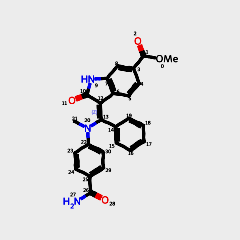 COC(=O)c1ccc2c(c1)NC(=O)/C2=C(/c1ccccc1)N(C)c1ccc(C(N)=O)cc1